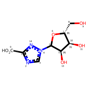 O=C(O)c1ncn(C2O[C@H](CO)[C@@H](O)[C@H]2O)n1